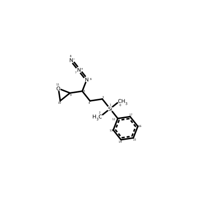 C[Si](C)(CCC(N=[N+]=[N-])C1CO1)c1ccccc1